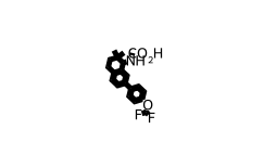 CC1(C)CCc2ccc(-c3ccc(OC(F)F)cc3)cc2C1NC(=O)O